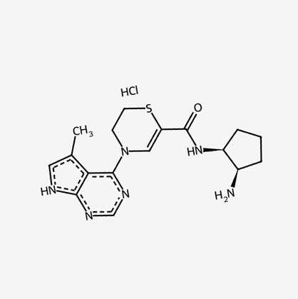 Cc1c[nH]c2ncnc(N3C=C(C(=O)N[C@H]4CCC[C@H]4N)SCC3)c12.Cl